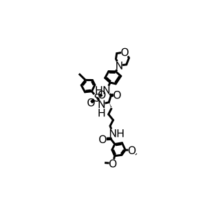 COc1cc(OC)cc(C(=O)NCCCC[C@H](NS(=O)(=O)c2ccc(C)cc2)C(=O)Nc2ccc(N3CCOCC3)cc2)c1